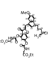 CCOC(=O)CNC(=O)Oc1cc(OC(=O)NCC(=O)OCC)c2c(c1)OC(=Cc1cn(CCCN(C)C)c3ccc(OC)cc13)C2=O